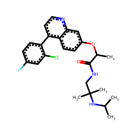 CC(C)NC(C)(C)CNC(=O)C(C)Oc1ccc2c(-c3ccc(F)cc3Cl)ccnc2c1